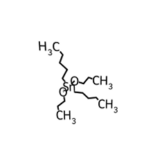 CCCC[CH2][Sn]([CH2]CCCC)([O]CCC)[O]CCC